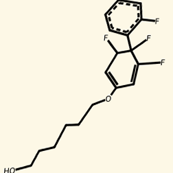 OCCCCCCOC1=CC(F)C(F)(c2ccccc2F)C(F)=C1